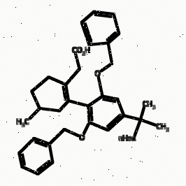 CCCCCCC(C)(C)c1cc(OCc2ccccc2)c(C2=C(CC(=O)O)CCC(C)C2)c(OCc2ccccc2)c1